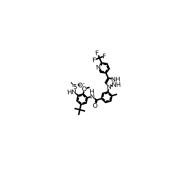 COc1c(NC(=O)c2ccc(C)c(N3C=C(c4ccc(C(F)(F)F)nc4)NN3)c2)cc(C(C)(C)C)cc1N[S@@+](C)[O-]